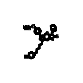 Cl.Cl.Cn1c(-c2ccc(Cl)cc2)cc(CCCCCN2CCNCC2)c1/C=C1/SC(=S)N(C2CC3CCC2C3)C1=O